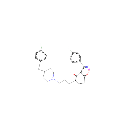 O=C1c2c(-c3ccc(F)cc3)noc2CCC1CCCN1CCC(Cc2ccc(F)cc2)CC1